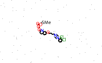 CSCOC(=O)OCOC1=Nc2cc(OCCCCN3CCN(c4cccc(Cl)c4Cl)CC3)ccc2CC1